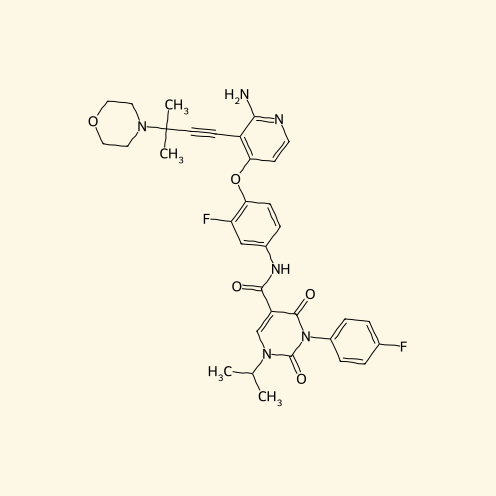 CC(C)n1cc(C(=O)Nc2ccc(Oc3ccnc(N)c3C#CC(C)(C)N3CCOCC3)c(F)c2)c(=O)n(-c2ccc(F)cc2)c1=O